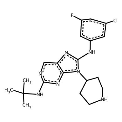 CC(C)(C)Nc1ncc2nc(Nc3cc(F)cc(Cl)c3)n(C3CCNCC3)c2n1